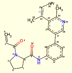 C=CC(=O)N1CCCC1C(=O)Nc1cccc(-c2cnc(C)c(/C(C)=C\CCC)c2)c1